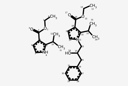 CCOC(=O)c1cc[nH]c1C(C)C.CCOC(=O)c1ccn(CC(O)Cc2ccccc2)c1C(C)C